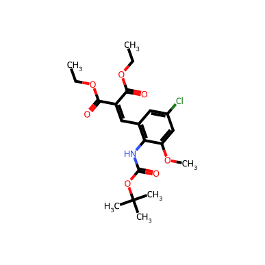 CCOC(=O)C(=Cc1cc(Cl)cc(OC)c1NC(=O)OC(C)(C)C)C(=O)OCC